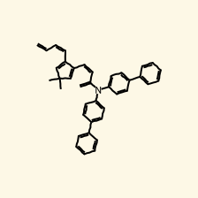 C=C/C=C\C1=CC(C)(C)C=C1/C=C\C(=C)N(c1ccc(-c2ccccc2)cc1)c1ccc(-c2ccccc2)cc1